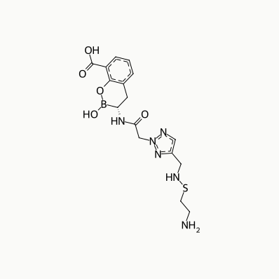 NCCSNCc1cnn(CC(=O)N[C@H]2Cc3cccc(C(=O)O)c3OB2O)n1